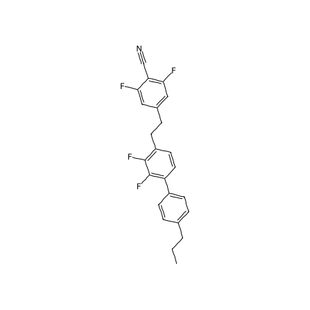 CCCc1ccc(-c2ccc(CCc3cc(F)c(C#N)c(F)c3)c(F)c2F)cc1